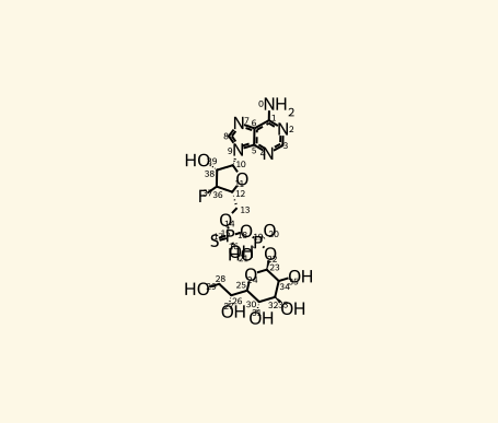 Nc1ncnc2c1ncn2[C@@H]1O[C@H](COP(O)(=S)OP(=O)(O)O[C@@H]2OC([C@H](O)CO)[C@@H](O)[C@H](O)C2O)C(F)[C@@H]1O